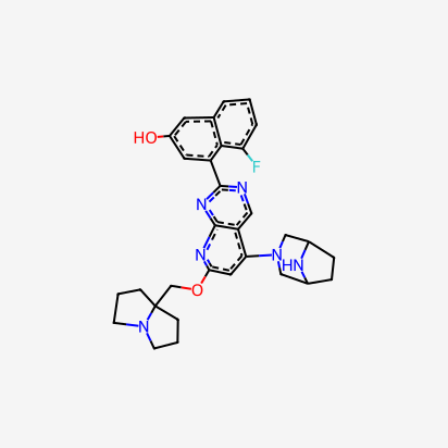 Oc1cc(-c2ncc3c(N4CC5CCC(C4)N5)cc(OCC45CCCN4CCC5)nc3n2)c2c(F)cccc2c1